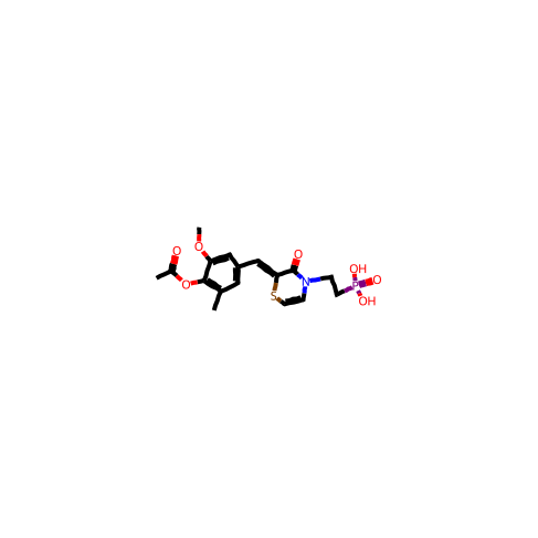 COc1cc(C=C2SC=CN(CCP(=O)(O)O)C2=O)cc(C)c1OC(C)=O